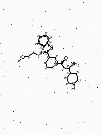 COCCCn1c(C2CCCN(C(=O)CC(N)C3CCNCC3)C2)nc2ccccc21